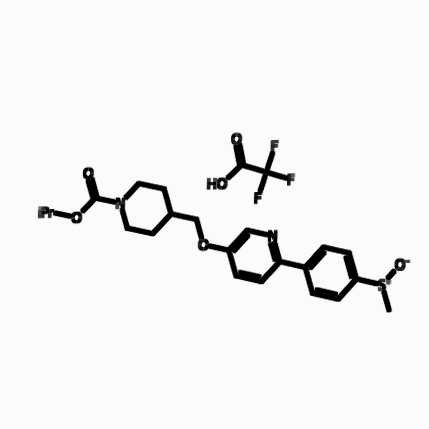 CC(C)OC(=O)N1CCC(COc2ccc(-c3ccc([S+](C)[O-])cc3)nc2)CC1.O=C(O)C(F)(F)F